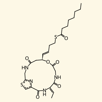 C/C=C1\NC(=O)c2csc(n2)CNC(=O)C[C@@H](/C=C/CCSC(=O)CCCCCCC)OC(=O)CNC1=O